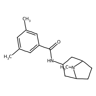 Cc1cc(C)cc(C(=O)NC2CC3CCC(C2)N3C)c1